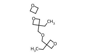 C1COC1.CCC1(COCC2(CC)COC2)COC1